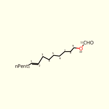 CCCCCC=CCCCCCCCOC=O